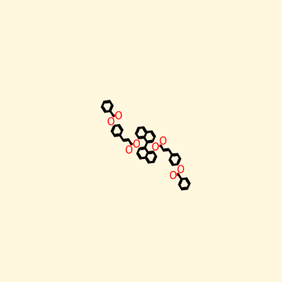 O=C(/C=C/c1ccc(OC(=O)c2ccccc2)cc1)Oc1ccc2ccccc2c1-c1c(OC(=O)/C=C/c2ccc(OC(=O)c3ccccc3)cc2)ccc2ccccc12